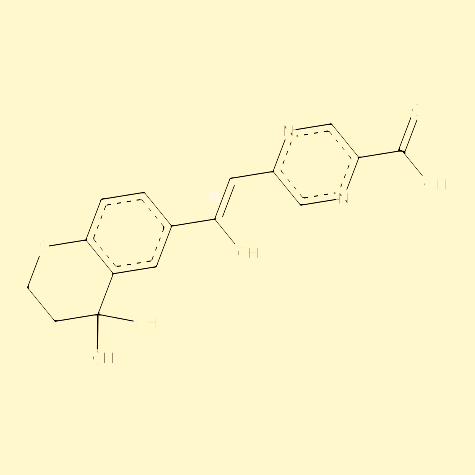 C/C(=C\c1cnc(C(=O)O)cn1)c1ccc2c(c1)C(C)(C)CCS2